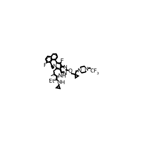 C#Cc1c(F)ccc2cccc(-c3nc4c5c(nc(OCC6(CN7CCN(CC(F)(F)F)CC7)CC6)nc5c3F)N[C@H]([C@H](CC)NC3CC3)[C@@H](C)C4)c12